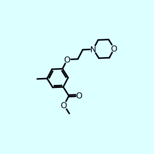 COC(=O)c1cc(C)cc(OCCN2CCOCC2)c1